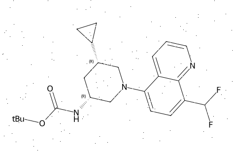 CC(C)(C)OC(=O)N[C@@H]1C[C@H](C2CC2)CN(c2ccc(C(F)F)c3ncccc23)C1